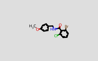 COc1ccc(CNC(=O)c2c(Cl)cccc2Br)cc1